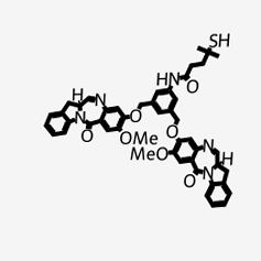 COc1cc2c(cc1OCc1cc(COc3cc4c(cc3OC)C(=O)N3c5ccccc5C[C@H]3C=N4)cc(NC(=O)CCC(C)(C)S)c1)N=C[C@@H]1Cc3ccccc3N1C2=O